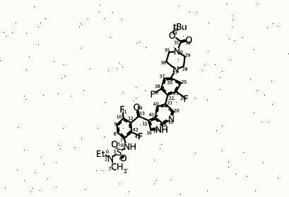 CCN(C)S(=O)(=O)Nc1ccc(F)c(C(=O)c2c[nH]c3ncc(-c4c(F)cc(N5CCN(C(=O)OC(C)(C)C)CC5)cc4F)cc23)c1F